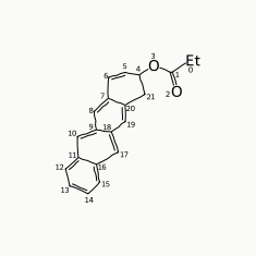 CCC(=O)OC1C=Cc2cc3cc4ccccc4cc3cc2C1